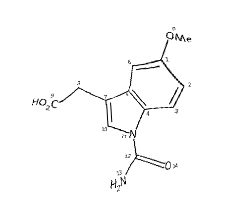 COc1ccc2c(c1)c(CC(=O)O)cn2C(N)=O